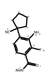 CNC(=O)c1ccc(C2(C#N)CCCC2)c(N)c1F